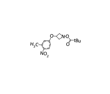 Cc1cc(OC2CN(OC(=O)C(C)(C)C)C2)ccc1[N+](=O)[O-]